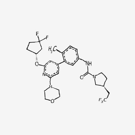 Cc1ccc(NC(=O)N2CC[C@@H](CC(F)(F)F)C2)cc1-c1cc(O[C@@H]2CCC(F)(F)C2)nc(N2CCOCC2)c1